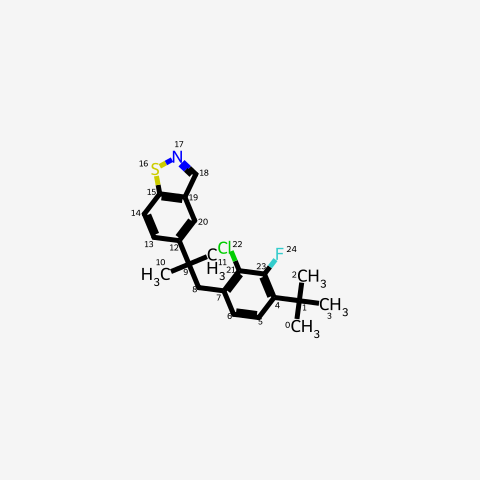 CC(C)(C)c1ccc(CC(C)(C)c2ccc3sncc3c2)c(Cl)c1F